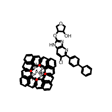 OC1COCC1Oc1nc2nc(-c3ccc(-c4ccccc4)cc3)c(Cl)cc2[nH]1.c1ccc([PH](c2ccccc2)(c2ccccc2)[Pd]([PH](c2ccccc2)(c2ccccc2)c2ccccc2)([PH](c2ccccc2)(c2ccccc2)c2ccccc2)[PH](c2ccccc2)(c2ccccc2)c2ccccc2)cc1